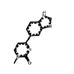 Cn1ccc(-c2ccc3[nH]cnc3c2)nc1=O